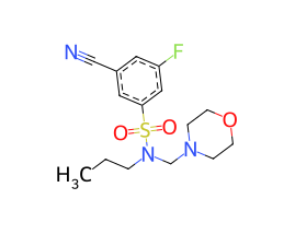 CCCN(CN1CCOCC1)S(=O)(=O)c1cc(F)cc(C#N)c1